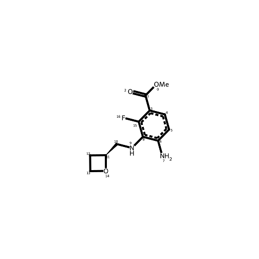 COC(=O)c1ccc(N)c(NC[C@@H]2CCO2)c1F